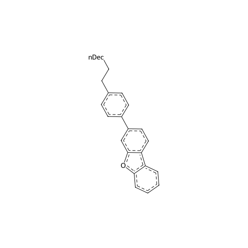 CCCCCCCCCCCCc1ccc(-c2ccc3c(c2)oc2ccccc23)cc1